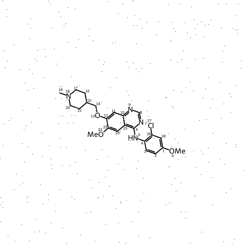 COc1ccc(Nc2ncnc3cc(OCC4CCN(C)CC4)c(OC)cc23)c(Cl)c1